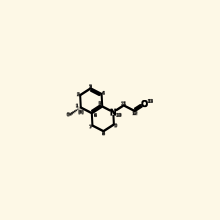 C[C@@H]1CC=CC2=C1CCCN2CC=O